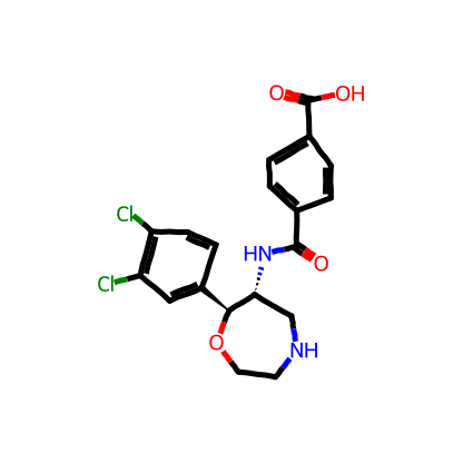 O=C(O)c1ccc(C(=O)N[C@@H]2CNCCO[C@H]2c2ccc(Cl)c(Cl)c2)cc1